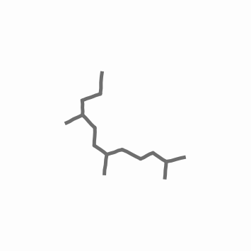 CCCC(C)CCC(C)CCCC(C)C